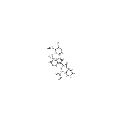 C=CC(=O)N(CC1(n2nc(-c3ccc(F)c(NC)c3)c3c(N)ncnc32)CC1)c1ccccc1